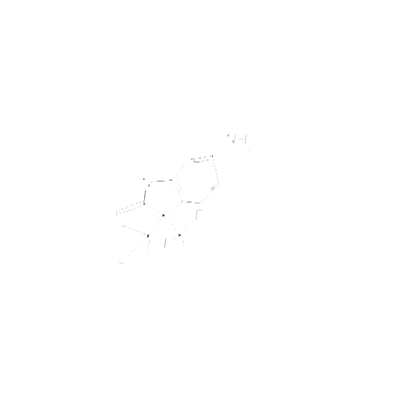 Nc1ccc2c(c1)NC(=O)C2(C(F)(F)F)C(F)(F)F